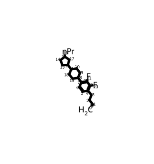 C=CCCc1ccc(C2CCC(C3CCC(CCC)C3)CC2)c(F)c1F